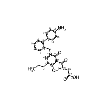 CCCc1nn(Cc2ccccc2-c2ccc(N)cc2)c(=O)c(C(=O)NCC(=O)O)c1O